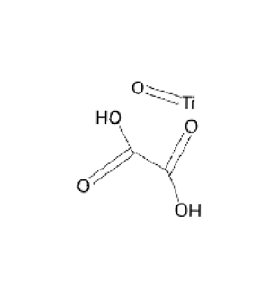 O=C(O)C(=O)O.[O]=[Ti]